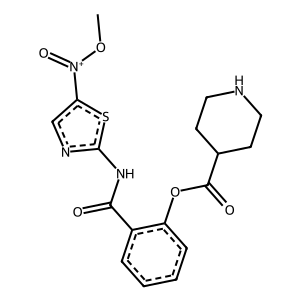 CO[N+](=O)c1cnc(NC(=O)c2ccccc2OC(=O)C2CCNCC2)s1